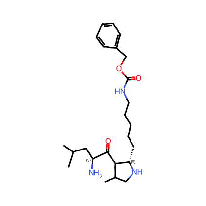 CC(C)C[C@H](N)C(=O)C1C(C)CN[C@H]1CCCCCNC(=O)OCc1ccccc1